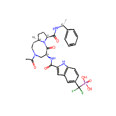 CC(=O)N1CC[C@H]2CC[C@@H](C(=O)N[C@H](C)c3ccccc3)N2C(=O)[C@@H](NC(=O)c2cc3cc(C(F)(F)P(=O)(O)O)ccc3[nH]2)C1